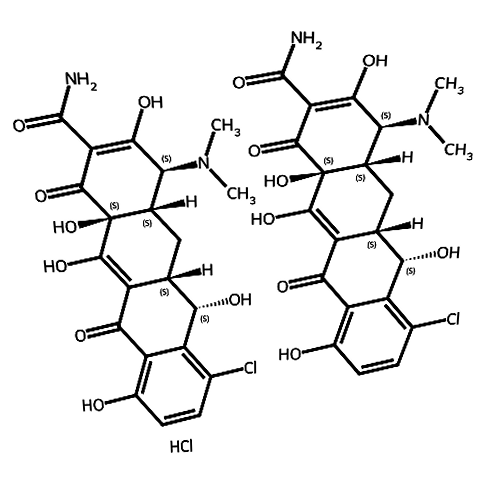 CN(C)[C@@H]1C(O)=C(C(N)=O)C(=O)[C@@]2(O)C(O)=C3C(=O)c4c(O)ccc(Cl)c4[C@@H](O)[C@H]3C[C@@H]12.CN(C)[C@@H]1C(O)=C(C(N)=O)C(=O)[C@@]2(O)C(O)=C3C(=O)c4c(O)ccc(Cl)c4[C@@H](O)[C@H]3C[C@@H]12.Cl